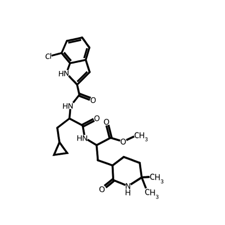 COC(=O)C(CC1CCC(C)(C)NC1=O)NC(=O)C(CC1CC1)NC(=O)c1cc2cccc(Cl)c2[nH]1